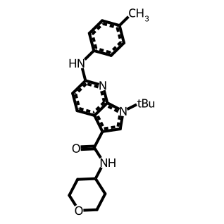 Cc1ccc(Nc2ccc3c(C(=O)NC4CCOCC4)cn(C(C)(C)C)c3n2)cc1